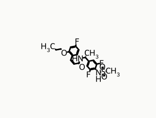 CCCOc1cc(F)ccc1/C=C\C(=O)N[C@H](C)c1cc(F)c(NS(C)(=O)=O)c(F)c1